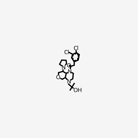 CC(C)(O)CN1CCN(C(=O)Cc2ccc(Cl)c(Cl)c2)C2C(N3CCCC3)COCC21